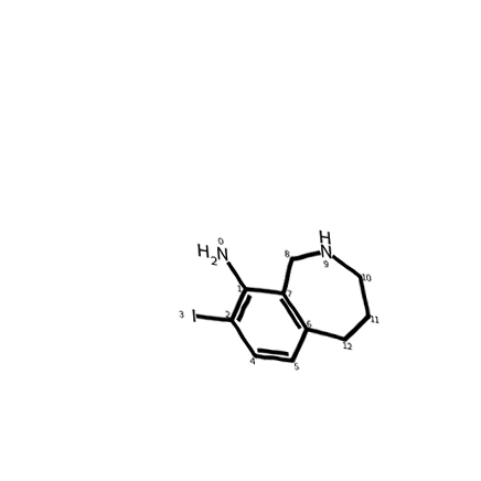 Nc1c(I)ccc2c1CNCCC2